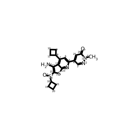 Cn1ncc(-c2cc(C3CCC3)c3c(N)c([S+]([O-])C4CCC4)sc3n2)cc1=O